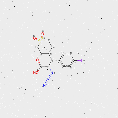 [N-]=[N+]=N[C@H](C(=O)O)[C@@H](c1ccc(I)cc1)C1CCS(=O)(=O)CC1